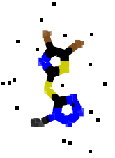 CC(C)(C)n1nnnc1Sc1nc(Br)c(Br)s1